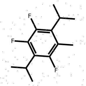 Cc1c(F)c(C(C)C)c(F)c(F)c1C(C)C